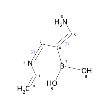 C=C/N=C\C(=C/N)B(O)O